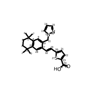 CC1(C)CCC(C)(C)c2cc(Cn3cccn3)c(/C=C/c3ccc(C(=O)O)s3)cc21